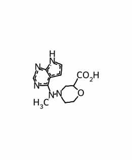 CN(c1ncnc2[nH]ccc12)N1CCOC(C(=O)O)C1